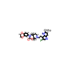 COc1ccc2ncc(F)c(CCN3CC[C@H]4CN(c5ccc6c(c5)OCCO6)C(=O)O[C@@H]4C3)c2n1